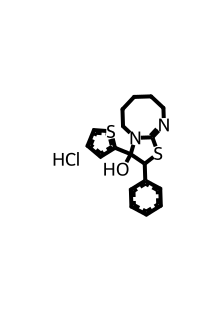 Cl.OC1(c2cccs2)C(c2ccccc2)SC2=NCCCCCN21